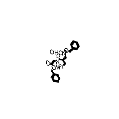 CC(C)CC(CN(C=O)OCc1ccccc1)C(=O)NCC(=O)OCc1ccccc1